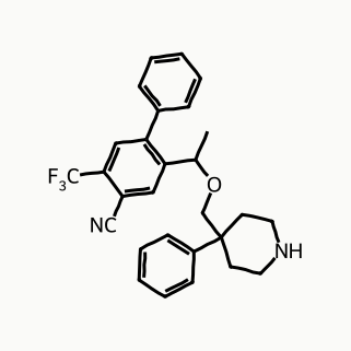 CC(OCC1(c2ccccc2)CCNCC1)c1cc(C#N)c(C(F)(F)F)cc1-c1ccccc1